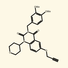 C#CCOc1ccc2c(c1)c(=O)n(Cc1ccc(OC)c(OC)c1)c(=O)n2C1CCOCC1